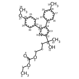 CCOC(=O)OCCCC(C)(O)c1cc(-c2ccc(C)cc2)n(-c2ccc(OC)cc2)n1